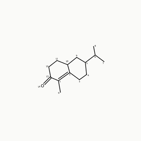 CC1=C2CCC(C(C)C)CC2CCC1=O